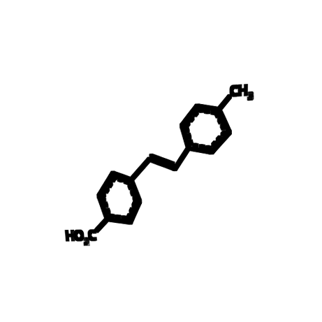 Cc1ccc(/C=C/c2ccc(C(=O)O)cc2)cc1